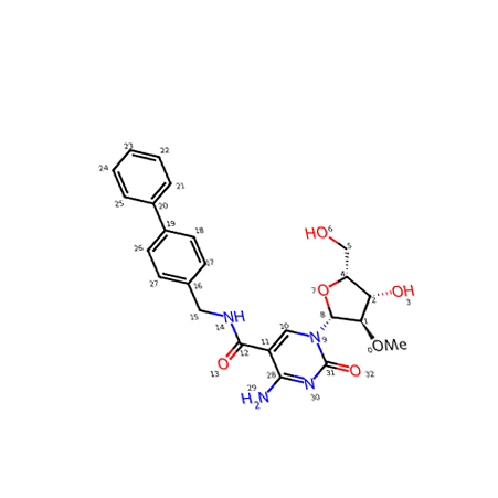 CO[C@@H]1[C@@H](O)[C@@H](CO)O[C@H]1n1cc(C(=O)NCc2ccc(-c3ccccc3)cc2)c(N)nc1=O